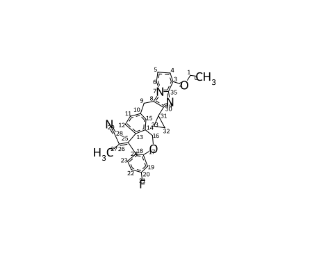 CCOc1cccn2c(Cc3ccc4c(c3)COc3cc(F)ccc3/C4=C(\C)C#N)c(C3CC3)nc12